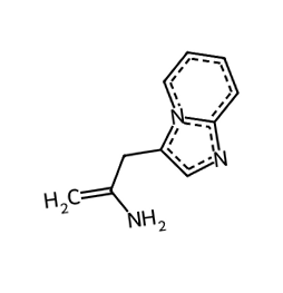 C=C(N)Cc1cnc2ccccn12